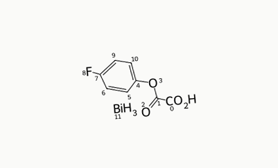 O=C(O)C(=O)Oc1ccc(F)cc1.[BiH3]